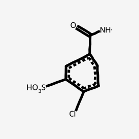 [NH]C(=O)c1ccc(Cl)c(S(=O)(=O)O)c1